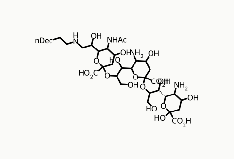 CCCCCCCCCCCCNCC(O)C1OC(OC(CO)C(O)C2OC(OC(CO)C(O)[C@H]3OC(O)(C(=O)O)CC(O)C3N)(C(=O)O)CC(O)C2N)(C(=O)O)CC(O)C1NC(C)=O